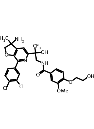 COc1cc(C(=O)NCC(O)(c2cc3c(c(-c4ccc(Cl)c(Cl)c4)n2)OCC3(C)N)C(F)(F)F)ccc1OCCO